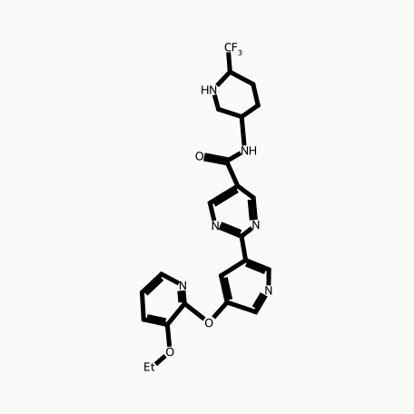 CCOc1cccnc1Oc1cncc(-c2ncc(C(=O)NC3CCC(C(F)(F)F)NC3)cn2)c1